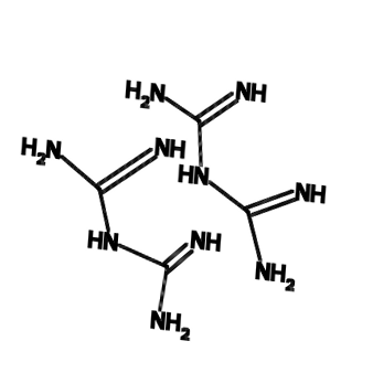 N=C(N)NC(=N)N.N=C(N)NC(=N)N